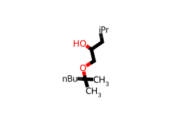 CCCCC(C)(C)OCC(O)CC(C)C